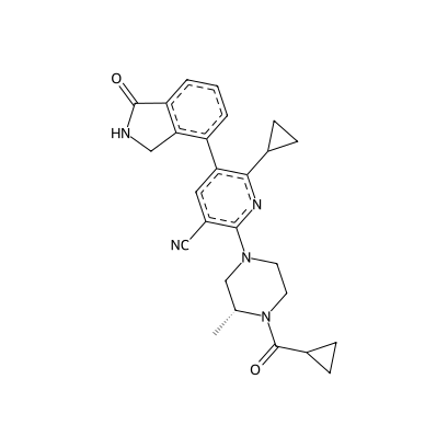 C[C@@H]1CN(c2nc(C3CC3)c(-c3cccc4c3CNC4=O)cc2C#N)CCN1C(=O)C1CC1